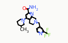 CC1CCCN(c2cc(C(N)=O)nc3c2CCN(Cc2ccnc(C(F)(F)F)c2)C3)C1